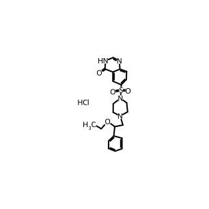 CCOC(CN1CCN(S(=O)(=O)c2ccc3nc[nH]c(=O)c3c2)CC1)c1ccccc1.Cl